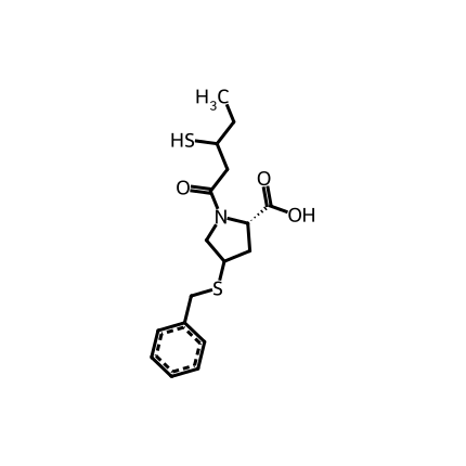 CCC(S)CC(=O)N1CC(SCc2ccccc2)C[C@H]1C(=O)O